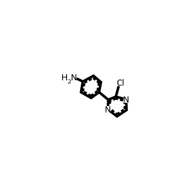 Nc1ccc(-c2nccnc2Cl)cc1